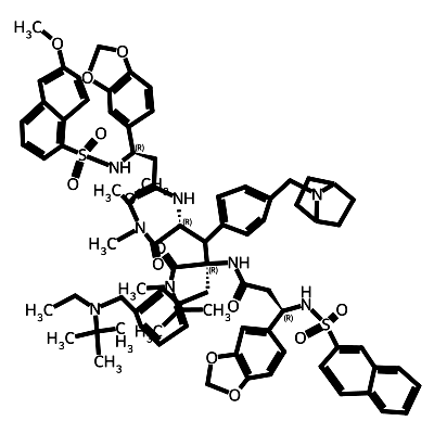 CCN(Cc1cccc(C[C@](NC(=O)C[C@@H](NS(=O)(=O)c2ccc3ccccc3c2)c2ccc3c(c2)OCO3)(C(=O)N(C)C(C)C)C(c2ccc(CN3C4CCC3CC4)cc2)[C@@H](NC(=O)C[C@@H](NS(=O)(=O)c2cccc3cc(OC)ccc23)c2ccc3c(c2)OCO3)C(=O)N(C)C(C)C)c1)C(C)(C)C